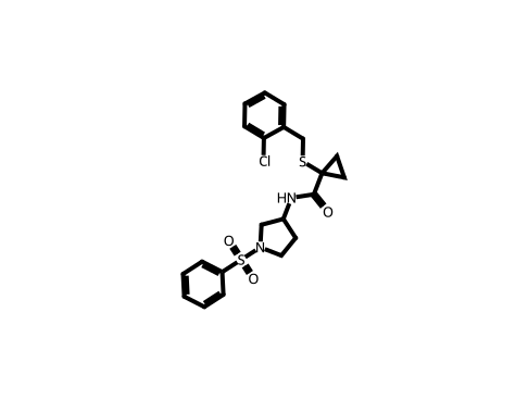 O=C(NC1CCN(S(=O)(=O)c2ccccc2)C1)C1(SCc2ccccc2Cl)CC1